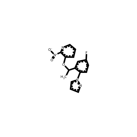 CC(Oc1cccnc1[N+](=O)[O-])c1cc(F)ccc1-n1cccn1